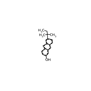 CCC(C)(C)c1ccc2cc3cc(O)ccc3cc2c1